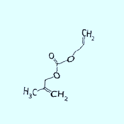 C=CCOC(=O)OCC(=C)C